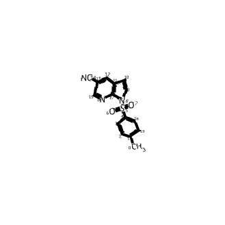 Cc1ccc(S(=O)(=O)n2ccc3cc(C#N)cnc32)cc1